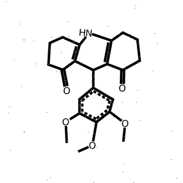 COc1cc(C2C3=C(CCCC3=O)NC3=C2C(=O)CCC3)cc(OC)c1OC